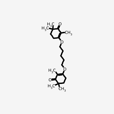 CC1=C(OCCCCCOC2=C(C)C(=O)C(C)(C)CC2)CCC(C)(C)C1=O